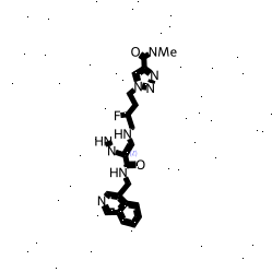 CNC(=O)c1cn(CCC(F)CN/C=C(\N=N)C(=O)NCc2cncc3ccccc23)nn1